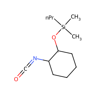 CCC[Si](C)(C)O[C]1CCCCC1N=C=O